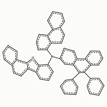 c1ccc(-c2c(-c3ccccc3)c3cc(N(c4cccc5c4ccc4ccccc45)c4cccc5c4oc4c6ccccc6ccc54)ccc3c3ccccc23)cc1